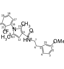 COc1cccc(CCNC(=O)c2cc(C)n(-c3ccccc3C(F)(F)F)c2C)c1